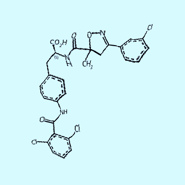 CC1(C(=O)N[C@@H](Cc2ccc(NC(=O)c3c(Cl)cccc3Cl)cc2)C(=O)O)CC(c2cccc(Cl)c2)=NO1